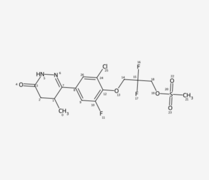 CC1CC(=O)NN=C1c1cc(F)c(OCC(F)(F)COS(C)(=O)=O)c(Cl)c1